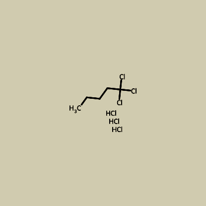 CCCCC(Cl)(Cl)Cl.Cl.Cl.Cl